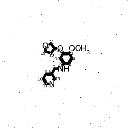 COc1ccc(NCc2cccnc2)cc1OC1CCOC1